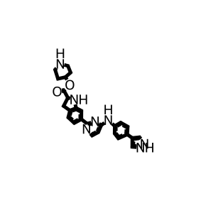 O=C(OC1CCNCC1)C1Cc2ccc(-c3nccc(Nc4ccc(-c5cn[nH]c5)cc4)n3)cc2N1